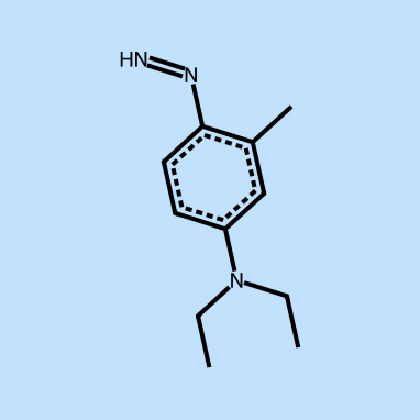 CCN(CC)c1ccc(N=N)c(C)c1